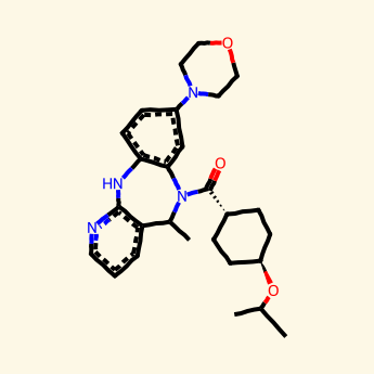 CC(C)O[C@H]1CC[C@H](C(=O)N2c3cc(N4CCOCC4)ccc3Nc3ncccc3C2C)CC1